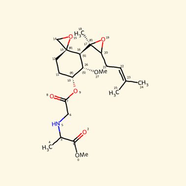 COC(=O)C(C)NCC(=O)O[C@@H]1CC[C@]2(CO2)[C@@H]([C@@]2(C)OC2CC=C(C)C)[C@@H]1OC